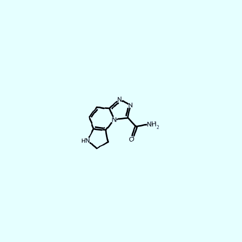 NC(=O)c1nnc2ccc3c(n12)CCN3